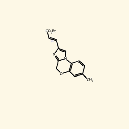 CCOC(=O)/C=C/c1cn2c(n1)COc1cc(C)ccc1-2